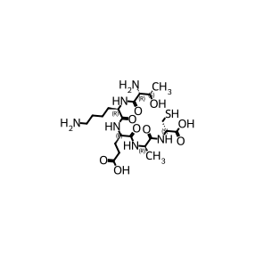 C[C@H](O)[C@@H](N)C(=O)N[C@H](CCCCN)C(=O)N[C@H](CCC(=O)O)C(=O)N[C@H](C)C(=O)N[C@H](CS)C(=O)O